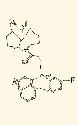 CC(CC(=O)N1CCCC2C(C(=O)O)CCCC21)c1c[nH]c2cccc(-c3ccc(F)cc3)c12